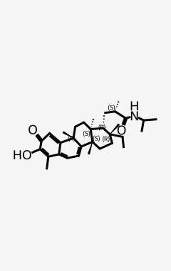 CC[C@]1(C)CC[C@]2(C)C3=CC=C4C(=CC(=O)C(O)=C4C)[C@]3(C)CC[C@@]2(C)[C@@H]1C[C@H](C)C(=O)NC(C)C